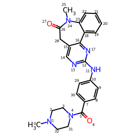 CN1CCN(C(=O)c2ccc(Nc3ncc4c(n3)-c3ccccc3N(C)C(=O)C4)cc2)CC1